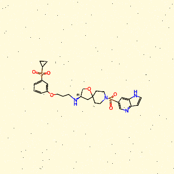 O=S(=O)(c1cccc(OCCCN[C@H]2COC3(CCN(S(=O)(=O)c4cnc5cc[nH]c5c4)CC3)C2)c1)C1CC1